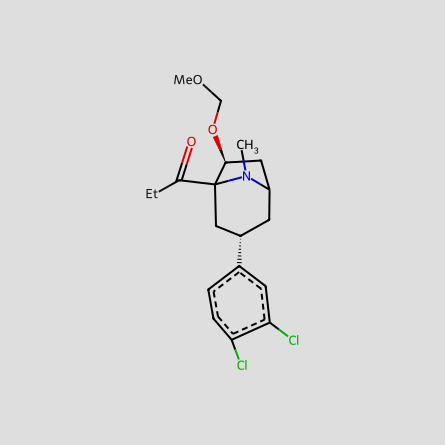 CCC(=O)C12C[C@@H](c3ccc(Cl)c(Cl)c3)CC(C[C@@H]1OCOC)N2C